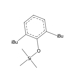 CCC(C)c1cccc(C(C)CC)c1O[Si](C)(C)C